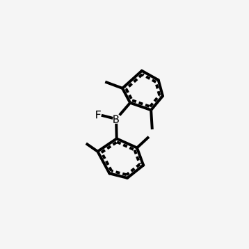 Cc1cccc(C)c1B(F)c1c(C)cccc1C